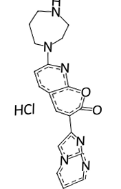 Cl.O=c1oc2nc(N3CCCNCC3)ccc2cc1-c1cn2cccnc2n1